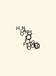 Cc1cc(C(Oc2ccccc2)(C(=O)O)C(F)(F)F)ccc1NC(N)=O